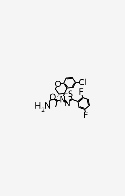 CC(=O)N1N=C(c2cc(F)ccc2F)S[C@]12c1cc(Cl)ccc1OC[C@H]2CCN